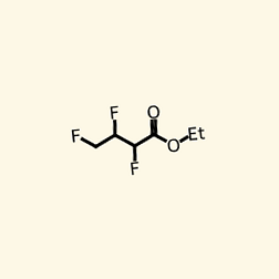 CCOC(=O)C(F)C(F)CF